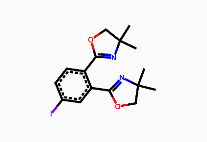 CC1(C)COC(c2ccc(I)cc2C2=NC(C)(C)CO2)=N1